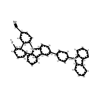 N#Cc1ccc(-n2c3ccccc3c3cc(-c4ccc(-n5c6ccccc6c6ccccc65)cc4)ccc32)c(-c2c(F)cccc2F)c1